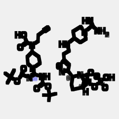 C#CCCN(C(=O)O)C1CCN(/C(=N\C(=O)OC(C)(C)C)NC(=O)OC(C)(C)C)CC1.N=C(N)N1CCC(NCCc2cc([C@@H]3CC[C@@H]4CN3C(=O)N4OS(=O)(=O)O)no2)CC1